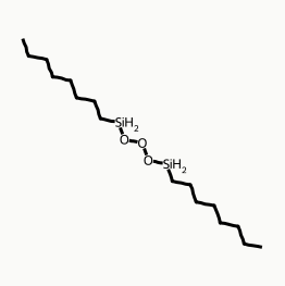 CCCCCCCC[SiH2]OOO[SiH2]CCCCCCCC